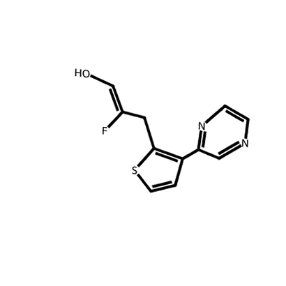 O/C=C(\F)Cc1sccc1-c1cnccn1